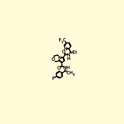 CC[C@@H](NC(=O)c1cc(C(=O)N[C@H](C)c2ccc(F)cc2)c2n1CCOC2)c1ccc(C(F)(F)F)cn1